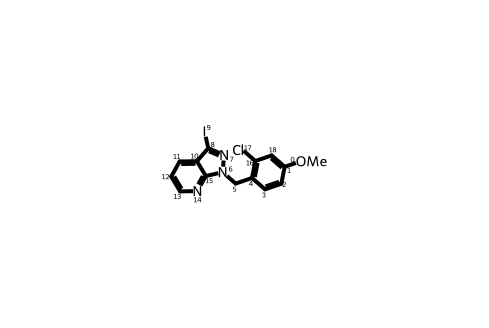 COc1ccc(Cn2nc(I)c3cccnc32)c(Cl)c1